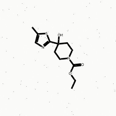 CCOC(=O)N1CCC(O)(c2ncc(C)s2)CC1